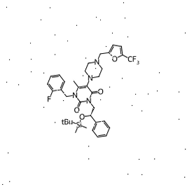 Cc1c(N2CCN(Cc3ccc(C(F)(F)F)o3)CC2)c(=O)n(C[C@H](O[Si](C)(C)C(C)(C)C)c2ccccc2)c(=O)n1Cc1ccccc1F